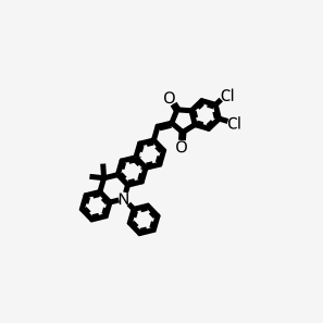 CC1(C)c2ccccc2N(c2ccccc2)c2cc3ccc(C=C4C(=O)c5cc(Cl)c(Cl)cc5C4=O)cc3cc21